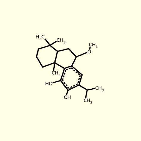 COC1CC2C(C)(C)CCCC2(C)c2c1cc(C(C)C)c(O)c2O